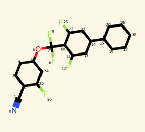 N#CC1CCC(OC(F)(F)C2C(F)CC(C3CCCCC3)CC2F)CC1F